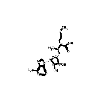 CSCC[C@@H](C(=O)O)N(C)C[C@H]1O[C@@H](n2cnc3c(N)ncnc32)[C@H](O)[C@@H]1O